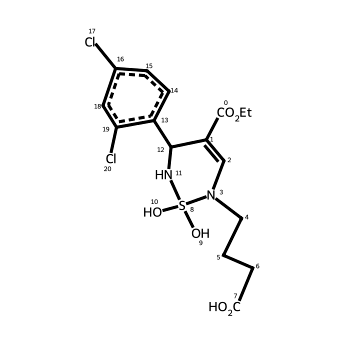 CCOC(=O)C1=CN(CCCC(=O)O)S(O)(O)NC1c1ccc(Cl)cc1Cl